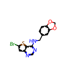 Brc1cc2ncnc(NCc3ccc4c(c3)OCO4)c2s1